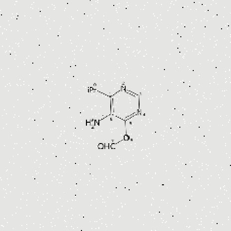 CC(C)c1ncnc(OC=O)c1N